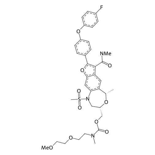 CNC(=O)c1c(-c2ccc(Oc3ccc(F)cc3)cc2)oc2cc3c(cc12)[C@H](C)O[C@H](COC(=O)N(C)CCOCCOC)CN3S(C)(=O)=O